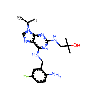 CCC(CC)n1cnc2c(NCc3cc(F)ccc3N)nc(NCC(C)(C)O)nc21